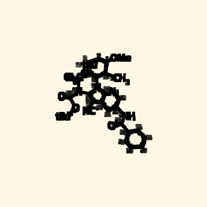 COc1ccc(C)c(-n2c(N(C(=O)OC(C)(C)C)C(=O)OC(C)(C)C)c(C#N)c3cc(NC(=O)c4ccccc4)cnc32)c1C